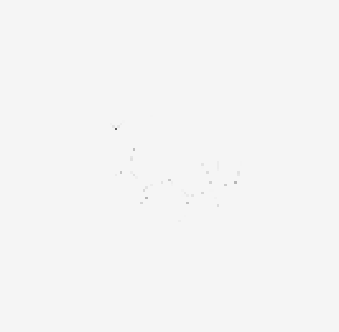 CCC(CC(C)(C)F)C(=O)/C=C(\O)C(C)(C)CC(F)(F)F